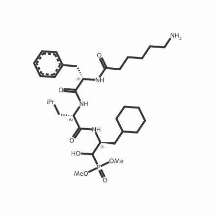 COP(=O)(OC)C(O)[C@H](CC1CCCCC1)NC(=O)[C@H](CC(C)C)NC(=O)[C@H](Cc1ccccc1)NC(=O)CCCCCN